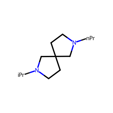 CCCN1CCC2(CCN(C(C)C)C2)C1